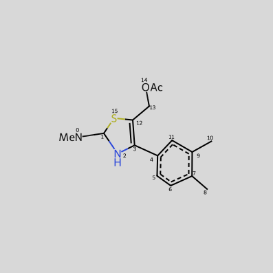 CNC1NC(c2ccc(C)c(C)c2)=C(COC(C)=O)S1